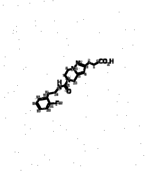 O=C(O)CCc1cc2n(n1)CCN(C(=O)NCCc1ccccc1F)C2